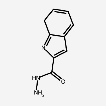 NNC(=O)C1=CC2=CC=CCC2=N1